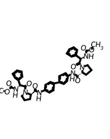 COC(=O)N[C@@H](C(=O)N1CCC[C@@H]1C(=O)Nc1ccc(-c2ccc(NC(=O)[C@H]3CCCN3C(=O)[C@H](NC(=O)OC)c3ccccc3)cc2)cc1)c1ccccc1